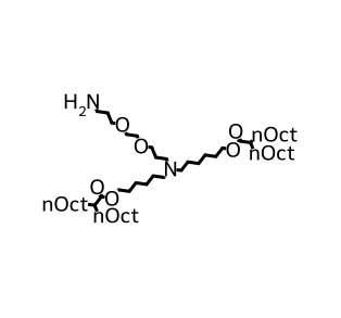 CCCCCCCCC(CCCCCCCC)C(=O)OCCCCCCN(CCCCCCOC(=O)C(CCCCCCCC)CCCCCCCC)CCCOCCOCCCN